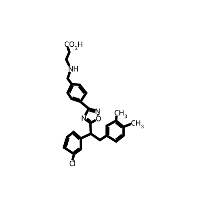 Cc1ccc(CC(c2cccc(Cl)c2)c2nc(-c3ccc(CNCCC(=O)O)cc3)no2)cc1C